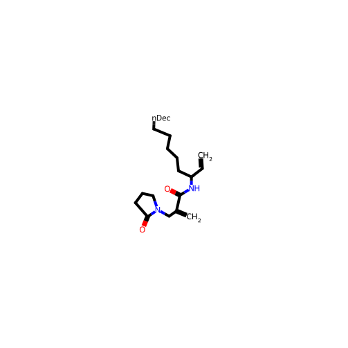 C=C[C](CCCCCCCCCCCCCCC)NC(=O)C(=C)CN1CCCC1=O